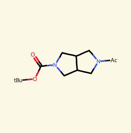 CC(=O)N1CC2CN(C(=O)OC(C)(C)C)CC2C1